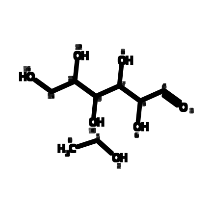 CCO.O=CC(O)C(O)C(O)C(O)CO